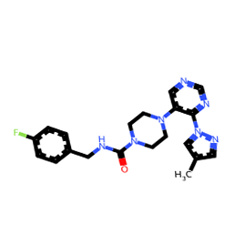 Cc1cnn(-c2ncncc2N2CCN(C(=O)NCc3ccc(F)cc3)CC2)c1